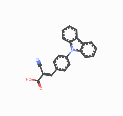 N#C/C(=C\c1ccc(-n2c3ccccc3c3ccccc32)cc1)C(=O)O